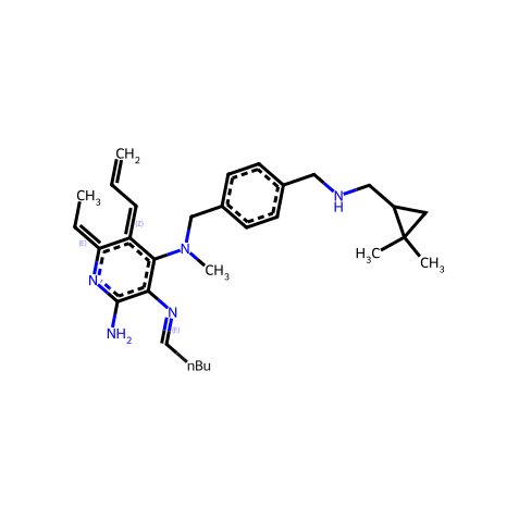 C=C/C=c1/c(N(C)Cc2ccc(CNCC3CC3(C)C)cc2)c(/N=C/CCCC)c(N)n/c1=C/C